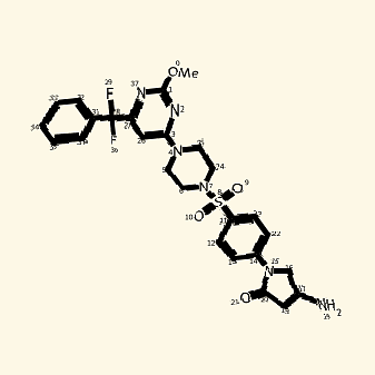 COc1nc(N2CCN(S(=O)(=O)c3ccc(N4CC(N)CC4=O)cc3)CC2)cc(C(F)(F)c2ccccc2)n1